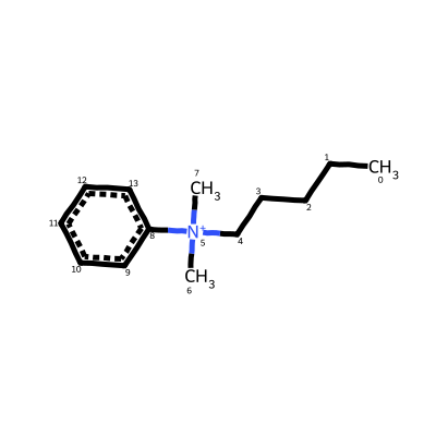 CCCCC[N+](C)(C)c1ccccc1